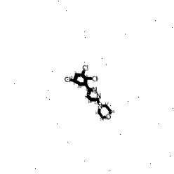 Clc1cc(Cl)c(Cl)c(-c2ccc(N3CCOCC3)nn2)c1